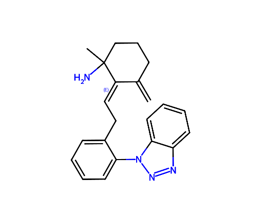 C=C1CCCC(C)(N)/C1=C/Cc1ccccc1-n1nnc2ccccc21